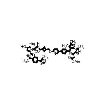 COC(=O)C[C@@H]1N=C(c2ccc(-c3ccc(OCC45CC(C(=O)N[C@H](C(=O)N6C[C@H](O)C[C@H]6C(=O)N[C@@H](C)c6ccc(-c7scnc7C)cc6)C(C)(C)C)(C4)C5)nc3)cc2)c2c(sc(C)c2C)-n2c(C)nnc21